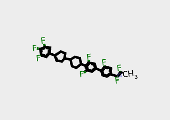 C/C(F)=C(\F)c1ccc(-c2cc(F)c(C3CCC(C4CCC(c5cc(F)c(F)c(F)c5)CC4)CC3)c(F)c2)c(F)c1